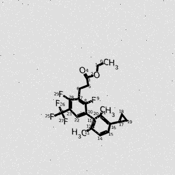 CCOC(=O)CCc1c(F)c(-c2c(C)ccc(C3CC3)c2C)cc(C(F)(F)F)c1F